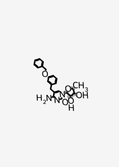 C[C@H]1O[C@@H](n2cc(Cc3cccc(OCc4ccccc4)c3)c(N)nc2=O)[C@H](O)[C@@H]1O